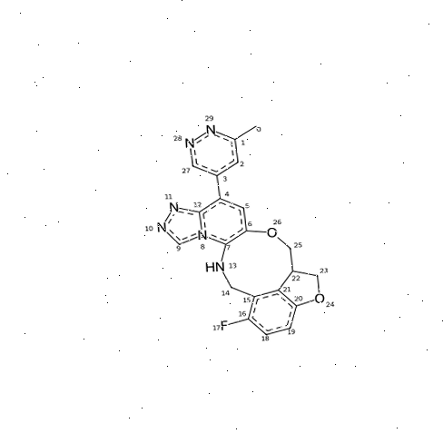 Cc1cc(-c2cc3c(n4cnnc24)NCc2c(F)ccc4c2C(CO4)CO3)cnn1